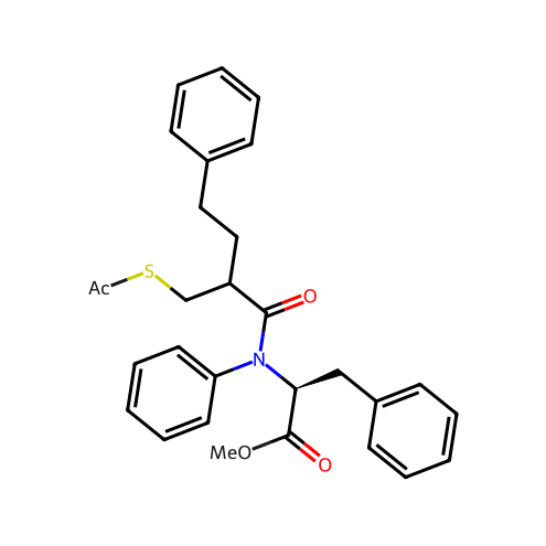 COC(=O)[C@H](Cc1ccccc1)N(C(=O)C(CCc1ccccc1)CSC(C)=O)c1ccccc1